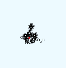 Cc1cc(N2C[C@@H](C)n3c(c(CCCOc4cc(C)c(Cl)c(C)c4)c4ccc(Cl)c(-c5c(C)nn(C)c5C)c43)C2=O)c2c(c1)cc(C(=O)O)n2Cc1cc(C#N)ccn1